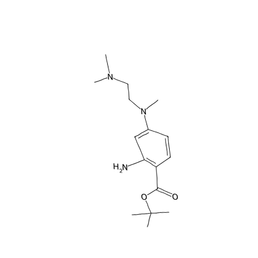 CN(C)CCN(C)c1ccc(C(=O)OC(C)(C)C)c(N)c1